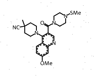 COc1ccc2c(N3CCC(C)(C#N)CC3)c(C(=O)N3CCN(SC)CC3)cnc2c1